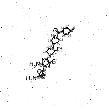 CCC1CN(c2nc(N)c(-c3nnc(N)o3)nc2Cl)CCN1C1CCN(C(=O)c2ccc(C)cc2)CC1